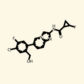 O=C(Nc1cn2cc(-c3cc(F)c(Cl)cc3CO)ccc2n1)C1CC1F